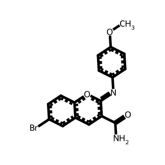 COc1ccc(/N=c2\oc3ccc(Br)cc3cc2C(N)=O)cc1